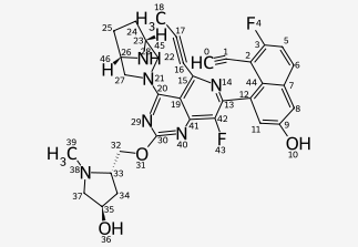 C#Cc1c(F)ccc2cc(O)cc(-c3nc(C#CC)c4c(N5C[C@H]6CC[C@@H](C5)N6)nc(OC[C@@H]5C[C@@H](O)CN5C)nc4c3F)c12